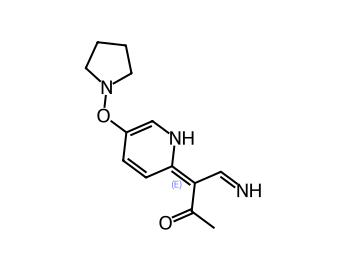 CC(=O)/C(C=N)=C1\C=CC(ON2CCCC2)=CN1